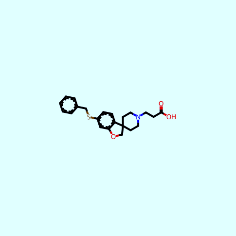 O=C(O)CCN1CCC2(CC1)COc1cc(SCc3ccccc3)ccc12